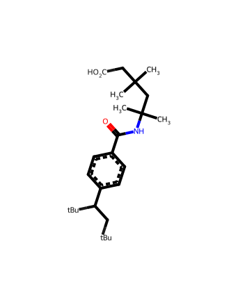 CC(C)(C)CC(c1ccc(C(=O)NC(C)(C)CC(C)(C)CC(=O)O)cc1)C(C)(C)C